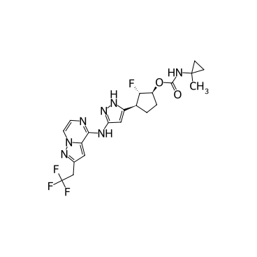 CC1(NC(=O)O[C@H]2CC[C@@H](c3cc(Nc4nccn5nc(CC(F)(F)F)cc45)n[nH]3)[C@@H]2F)CC1